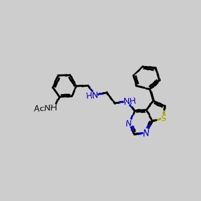 CC(=O)Nc1cccc(CNCCNc2ncnc3scc(-c4ccccc4)c23)c1